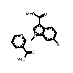 COC(=O)c1cccnc1.COC(=O)c1cn(C)c2cc(Br)ccc12